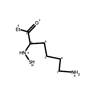 CCC(=O)C(CCCCN)NS